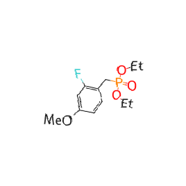 CCOP(=O)(Cc1ccc(OC)cc1F)OCC